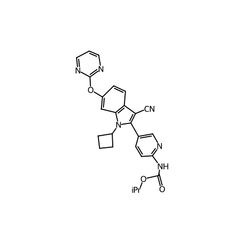 CC(C)OC(=O)Nc1ccc(-c2c(C#N)c3ccc(Oc4ncccn4)cc3n2C2CCC2)cn1